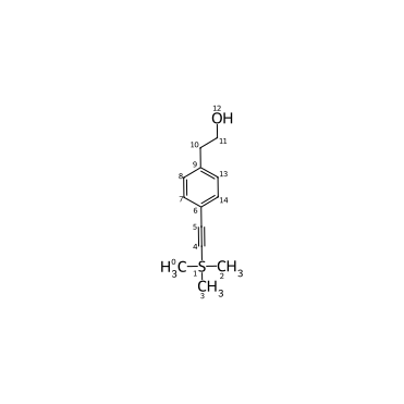 CS(C)(C)C#Cc1ccc(CCO)cc1